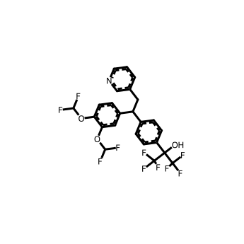 OC(c1ccc(C(Cc2cccnc2)c2ccc(OC(F)F)c(OC(F)F)c2)cc1)(C(F)(F)F)C(F)(F)F